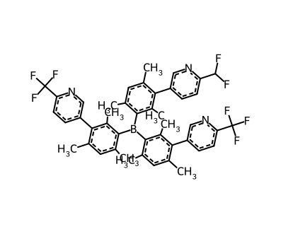 Cc1cc(C)c(-c2ccc(C(F)F)nc2)c(C)c1B(c1c(C)cc(C)c(-c2ccc(C(F)(F)F)nc2)c1C)c1c(C)cc(C)c(-c2ccc(C(F)(F)F)nc2)c1C